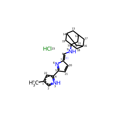 Cc1c[nH]c(C2=N/C(=C/NC34CC5CC(CC(C5)C3)C4)C=C2)c1.Cl